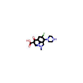 CN1Cc2c(N3CCNCC3)c(F)cc3c(=O)c(C(=O)O)cn1c23